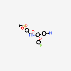 N#Cc1ccc(-c2ccc(NC(=O)Cc3ccc(S(=O)(=O)CC4CC4)cc3)cc2Oc2cccc(F)c2)cc1